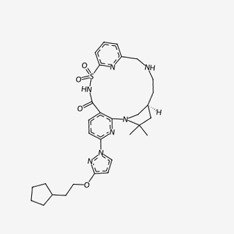 CC1(C)C[C@@H]2CCNCc3cccc(n3)S(=O)(=O)NC(=O)c3ccc(-n4ccc(OCCC5CCCC5)n4)nc3N1C2